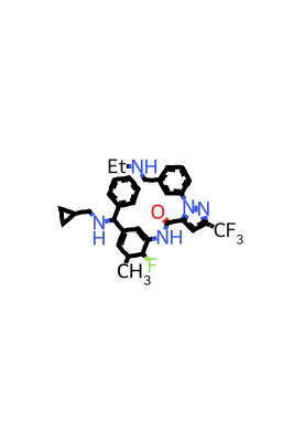 CCNCc1cccc(-n2nc(C(F)(F)F)cc2C(=O)NC2=CC(C(NCC3CC3)c3ccccc3)=CC(C)C2F)c1